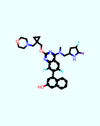 CN(CC1CC(F)C(I)N1)c1nc(OCC2(CN3CCOCC3)CC2)nc2c(F)c(-c3cc(O)cc4ccccc34)c(F)cc12